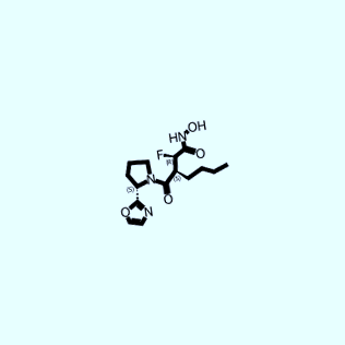 CCCC[C@@H](C(=O)N1CCC[C@H]1c1ncco1)[C@@H](F)C(=O)NO